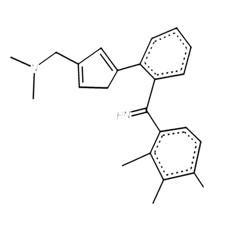 Cc1ccc(C(=N)c2ccccc2C2=CC(CN(C)C)=CC2)c(C)c1C